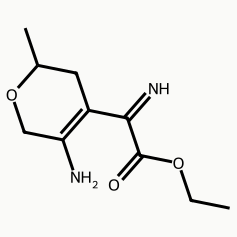 CCOC(=O)C(=N)C1=C(N)COC(C)C1